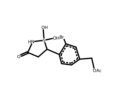 CC(=O)OCc1ccc(C2CC(=O)NS2(O)O)c(Br)c1